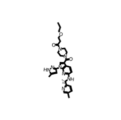 CCCOCCC(=O)N1CCN(C(=O)c2cn(-c3cc(C)[nH]n3)c3nc(N[C@@H](C)c4ccc(C)cn4)ccc23)CC1